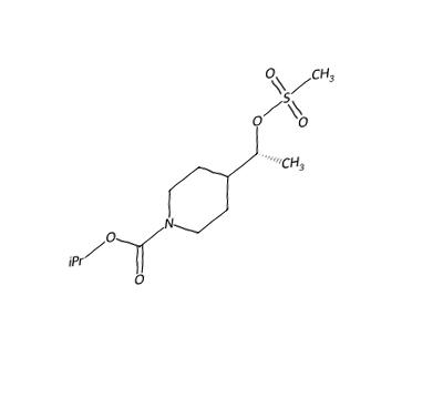 CC(C)OC(=O)N1CCC([C@@H](C)OS(C)(=O)=O)CC1